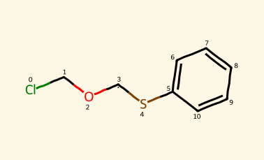 ClCO[CH]Sc1ccccc1